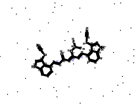 N#CSc1c[nH]c2cccc(/C=C/C(=O)/C=C(/C=C/c3cccc4[nH]cc(SC#N)c34)OB(F)F)c12